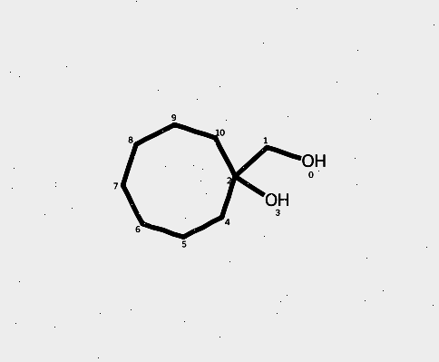 OCC1(O)CCCCCCC1